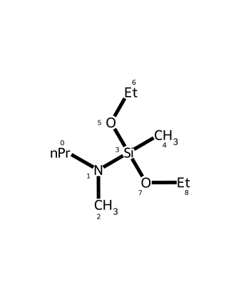 CCCN(C)[Si](C)(OCC)OCC